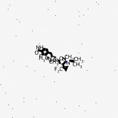 C=N/C(=N\C=C(C)C)[C@@H](CC(=O)NC[C@H](Cc1ccc(C(N)=O)c(F)c1)N(C)C)C1(C(F)(F)F)CC1